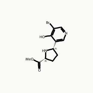 COC(=O)[C@H]1CC[C@@H](c2cncc(Br)c2O)N1